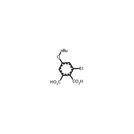 CCCCOc1cc(CC)c(C(=O)O)c(C(=O)O)c1